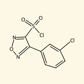 O=S(=O)(Cl)c1nonc1-c1cccc(Cl)c1